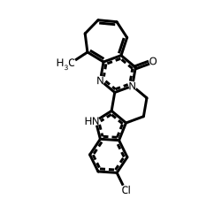 CC1=c2nc3n(c(=O)c2=CC=CC1)CCc1c-3[nH]c2ccc(Cl)cc12